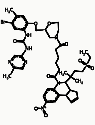 CCS(=O)(=O)CCC(C)(C)C1C2CC=CC2c2cc([N+](=O)[O-])ccc2N1C(=O)CCCCC(=O)N1CCO[C@H](COc2cc(C)c(Br)cc2NC(=O)Nc2cnc(C)cn2)C1